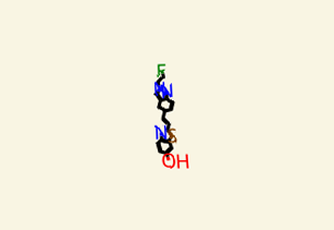 Oc1ccc2nc(/C=C/c3ccc4nn(CCF)cc4c3)sc2c1